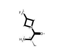 C[C@H](N)C(=O)N1CC(C(F)(F)F)C1